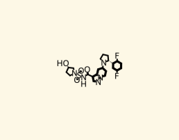 O=C(NS(=O)(=O)N1CC[C@H](O)C1)c1cnn2ccc(N3CCC[C@@H]3c3cc(F)ccc3F)cc12